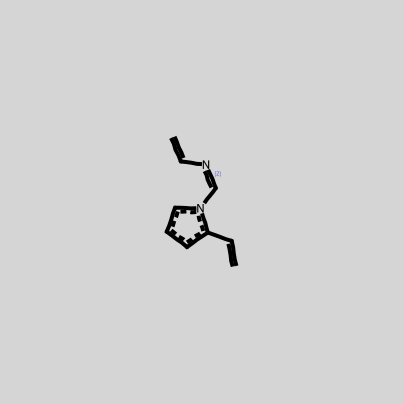 C=C/N=C\n1cccc1C=C